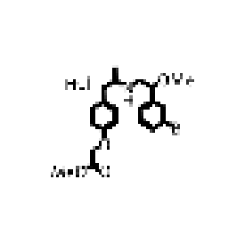 COC(=O)COc1ccc(CC(C)NCC(OC)c2cccc(Br)c2)cc1.Cl